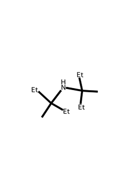 CCC(C)(CC)NC(C)(CC)CC